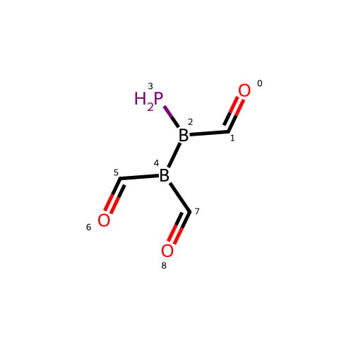 O=CB(P)B(C=O)C=O